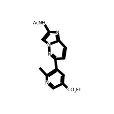 CCOC(=O)c1cnc(C)c(-c2ccc3nc(NC(C)=O)cn3n2)c1